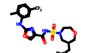 COCC1COCCN(S(=O)(=O)NC(=O)c2coc(Nc3cc(C(F)(F)F)ccc3C)n2)C1